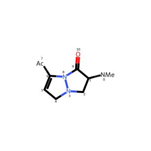 CNC1CN2CC=C(C(C)=O)N2C1=O